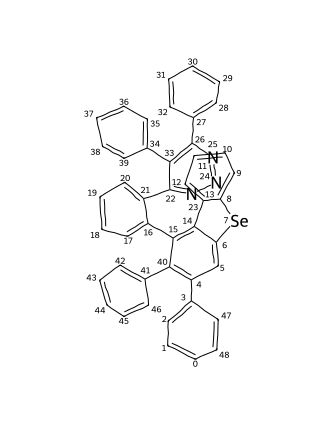 c1ccc(-c2cc3[se]c4ccccc4c3c(-c3ccccc3-c3nnnc(-c4ccccc4)c3-c3ccccc3)c2-c2ccccc2)cc1